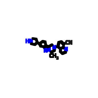 C[C@@H]1CN(c2ccc(C#N)c3ncccc23)Cc2c3ccc(C4CCNCC4)cc3nn21